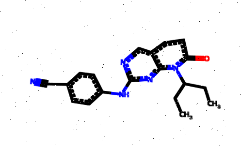 CCC(CC)n1c(=O)ccc2cnc(Nc3ccc(C#N)cc3)nc21